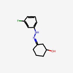 OC1CCCC(=NNc2cccc(F)c2)C1